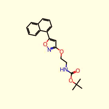 CC(C)(C)OC(=O)NCCOc1cc(-c2cccc3ccccc23)on1